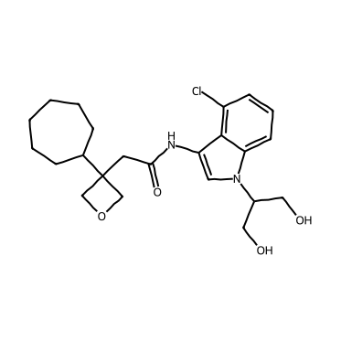 O=C(CC1(C2CCCCCC2)COC1)Nc1cn(C(CO)CO)c2cccc(Cl)c12